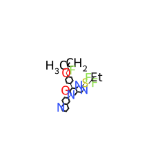 C=C(C)C(F)Oc1ccc(-c2c(=O)n(-c3ccc4ncccc4c3)cc3cnc(SCC(F)(F)CC)nc23)cc1